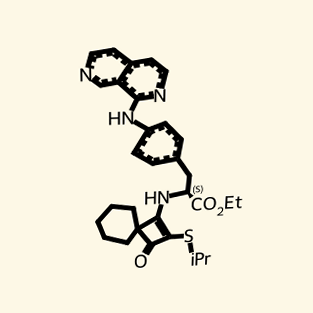 CCOC(=O)[C@H](Cc1ccc(Nc2nccc3ccncc23)cc1)NC1=C(SC(C)C)C(=O)C12CCCCC2